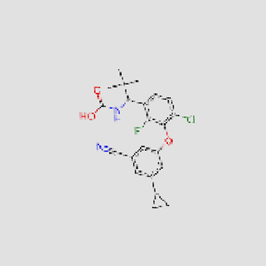 CC(C)(C)C(NC(=O)O)c1ccc(Cl)c(Oc2cc(C#N)cc(C3CC3)c2)c1F